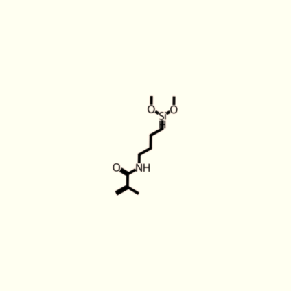 C=C(C)C(=O)NCCCC[SiH](OC)OC